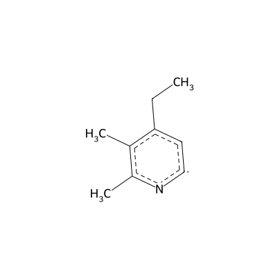 CCc1c[c]nc(C)c1C